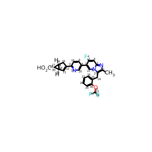 Cc1nc2cc(F)c(-c3ccc(C4=C[C@@H]5[C@H](C4)[C@H]5C(=O)O)nc3)cn2c1Cc1ccccc1OC(F)F